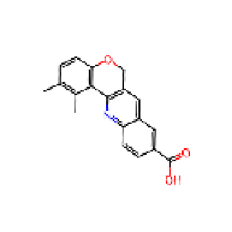 Cc1ccc2c(c1C)-c1nc3ccc(C(=O)O)cc3cc1CO2